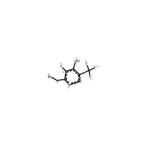 Oc1c(C(F)(F)F)cnc(CBr)c1F